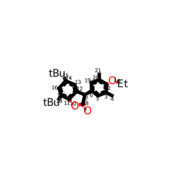 CCOc1c(C)cc(C2C(=O)Oc3c2cc(C(C)(C)C)cc3C(C)(C)C)cc1C